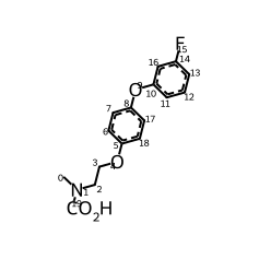 CN(CCOc1ccc(Oc2cccc(F)c2)cc1)C(=O)O